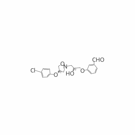 O=Cc1cccc(OC[C@@H](O)CN2C[C@@H](Oc3ccc(Cl)cc3)CO2)c1